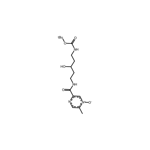 Cc1cnc(C(=O)NCCC(O)CCNC(=O)OC(C)(C)C)c[n+]1[O-]